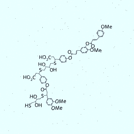 COc1ccc(/C=C/C(=O)Oc2cc(/C=C/C(=O)Oc3ccc(C(CC(=O)O)SCC(O)C(O)CSC(CC(=O)O)c4ccc(OC(=O)CC(SCC(O)C(O)CS)c5ccc(OC)c(OC)c5)cc4)cc3)ccc2OC)cc1